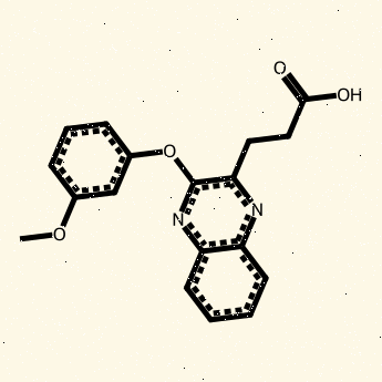 COc1cccc(Oc2nc3ccccc3nc2CCC(=O)O)c1